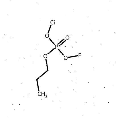 CCCOP(=O)(OF)OCl